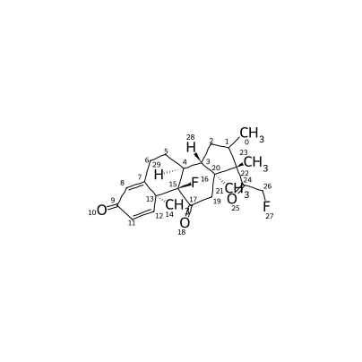 CC1C[C@H]2[C@@H]3CCC4=CC(=O)C=C[C@]4(C)[C@@]3(F)C(=O)C[C@]2(C)[C@@]1(C)C(=O)CF